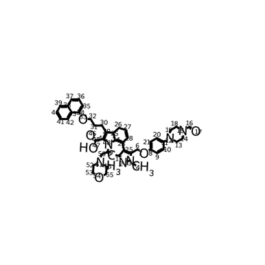 Cc1nn(C)c(COc2ccc(N3CCN(C=O)CC3)cc2)c1C1=C2C(CC=C1)C(CCCOc1cccc3ccccc13)=C(C(=O)O)N2CCN1CCOCC1